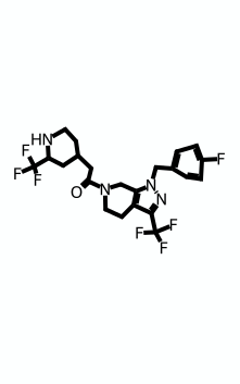 O=C(CC1CCNC(C(F)(F)F)C1)N1CCc2c(C(F)(F)F)nn(Cc3ccc(F)cc3)c2C1